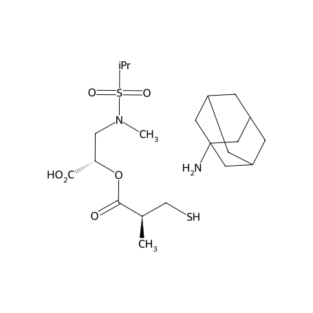 CC(C)S(=O)(=O)N(C)C[C@H](OC(=O)[C@H](C)CS)C(=O)O.NC12CC3CC(CC(C3)C1)C2